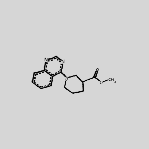 COC(=O)C1CCCN(c2ncnc3ccccc23)C1